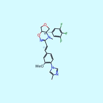 COc1cc(/C=C/C2=NOC3COC[C@@]3(c3cc(F)c(F)c(F)c3)N2C)ccc1-n1cnc(C)c1